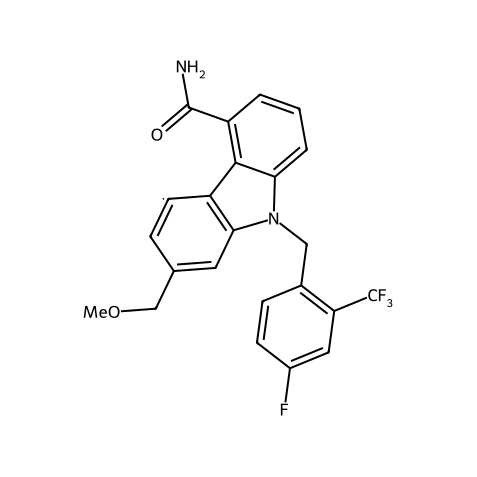 COCc1c[c]c2c3c(C(N)=O)cccc3n(Cc3ccc(F)cc3C(F)(F)F)c2c1